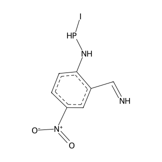 N=Cc1cc([N+](=O)[O-])ccc1NPI